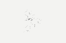 O=C(Nc1c[nH]nc1C(=O)Nc1ccc(F)cc1)c1ccccc1[N+](=O)[O-]